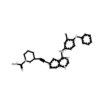 CNC(=O)N1CCCC(C#Cc2ccc3ncnc(Nc4ccc(Oc5ccccc5)c(C)c4)c3c2)C1